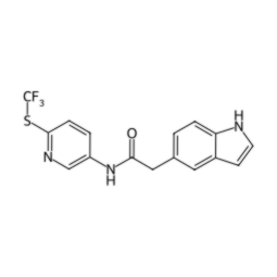 O=C(Cc1ccc2[nH]ccc2c1)Nc1ccc(SC(F)(F)F)nc1